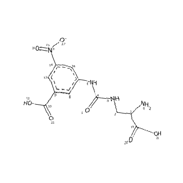 NC(CNC(=O)Nc1cc(C(=O)O)cc([N+](=O)[O-])c1)C(=O)O